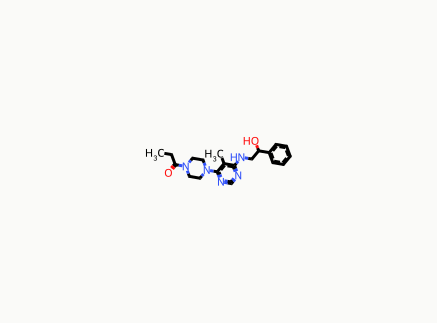 CCC(=O)N1CCN(c2ncnc(NCC(O)c3ccccc3)c2C)CC1